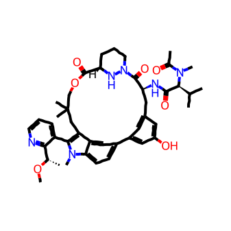 CO[C@@H](C)c1ncccc1-c1c2c3cc(ccc3n1C)-c1cc(O)cc(c1)C[C@H](NC(=O)[C@H](C(C)C)N(C)C(C)=O)C(=O)N1CCC[C@H](N1)C(=O)OCC(C)(C)C2